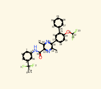 CCC(F)(F)c1cccc(NC(=O)c2nc(C)c(-c3ccc(OC(F)F)c(-c4ccccc4)c3)nc2C)c1